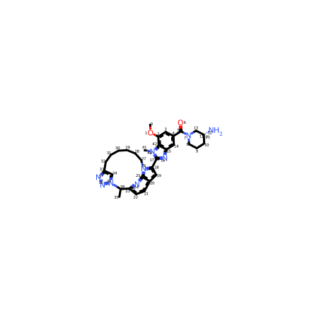 COc1cc(C(=O)N2CCC[C@@H](N)C2)cc2nc(-c3cc4ccc5nc4n3CCCCCCc3cn(nn3)C5C)n(C)c12